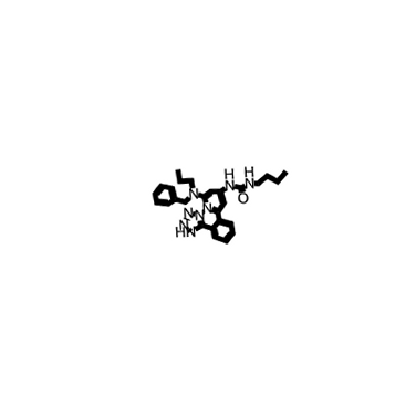 CCCCNC(=O)Nc1cc(-c2ccccc2-c2nnn[nH]2)nc(N(CCC)Cc2ccccc2)c1